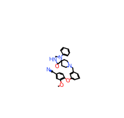 COc1cc(C#N)ccc1Oc1cccc(CN2CCC3(CC2)C(=O)NCN3c2ccccc2)c1